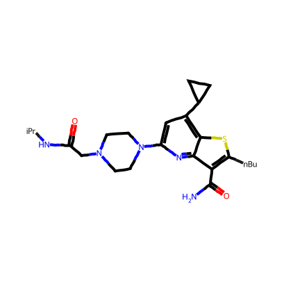 CCCCc1sc2c(C3CC3)cc(N3CCN(CC(=O)NC(C)C)CC3)nc2c1C(N)=O